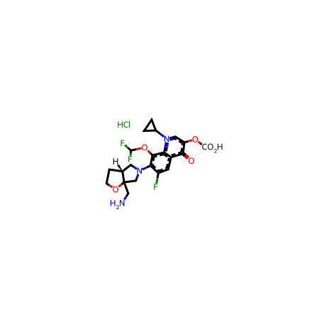 Cl.NCC12CN(c3c(F)cc4c(=O)c(OC(=O)O)cn(C5CC5)c4c3OC(F)F)C[C@H]1CCO2